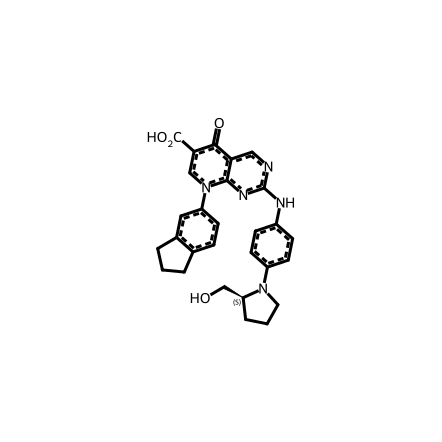 O=C(O)c1cn(-c2ccc3c(c2)CCC3)c2nc(Nc3ccc(N4CCC[C@H]4CO)cc3)ncc2c1=O